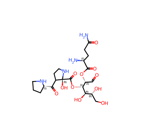 NC(=O)CC[C@H](N)C(=O)O[C@H](C=O)[C@@H](OC(=O)[C@@]1(O)NCCC1C(=O)[C@@H]1CCCN1)[C@H](O)[C@H](O)CO